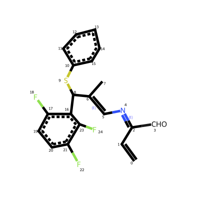 C=C/C(C=O)=N\C=C(/C)C(Sc1ccccc1)c1c(F)ccc(F)c1F